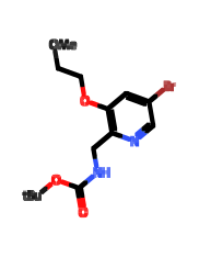 COCCOc1cc(Br)cnc1CNC(=O)OC(C)(C)C